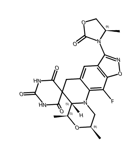 C[C@@H]1CN2c3c(cc4c(N5C(=O)OC[C@H]5C)noc4c3F)CC3(C(=O)NC(=O)NC3=O)[C@H]2[C@H](C)O1